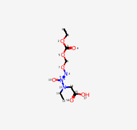 CCOC(=O)OCON=[N+]([O-])N(CC)CC(=O)O